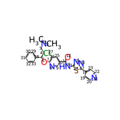 CN(C)CCC(Oc1ncc(C(=O)Nc2nnc(-c3ccncc3)s2)cc1Cl)c1ccccc1